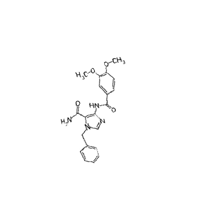 COc1ccc(C(=O)Nc2ncn(Cc3ccccc3)c2C(N)=O)cc1OC